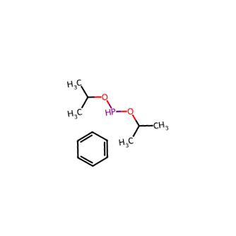 CC(C)OPOC(C)C.c1ccccc1